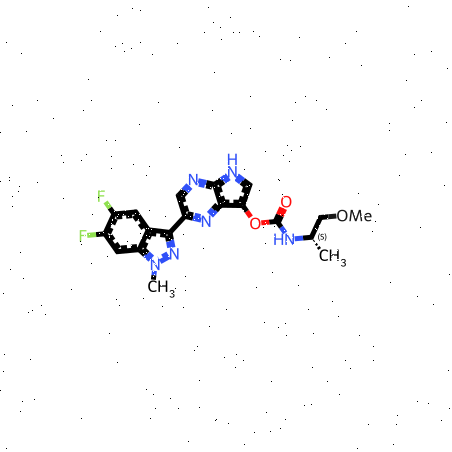 COC[C@H](C)NC(=O)Oc1c[nH]c2ncc(-c3nn(C)c4cc(F)c(F)cc34)nc12